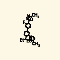 CCC(CC)c1ccc(-c2ccc(-c3nnc(C)o3)c(F)c2)cc1-n1ccc(C)n1